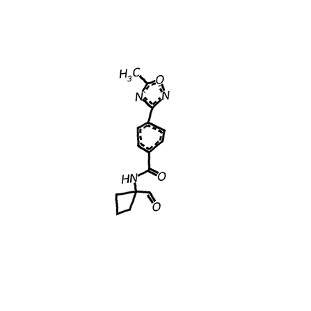 Cc1nc(-c2ccc(C(=O)NC3(C=O)CCC3)cc2)no1